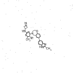 Cc1nc2cc(-c3ccc4c(c3)CN(c3nc(NC5CNC5)nc(C)c3C(C)C)CCO4)ccc2[nH]1